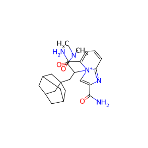 CN(C)C(=O)C(CC12CC3CC(CC(C3)C1)C2)[N+]12C=C(C(N)=O)N=C1C=CC=C2C(N)=O